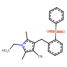 Cc1c(C#N)c(Cc2ccccc2S(=O)(=O)c2ccccc2)c(C)n1CC(=O)O